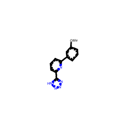 COc1cccc(-c2c[c]cc(-c3nnn[nH]3)n2)c1